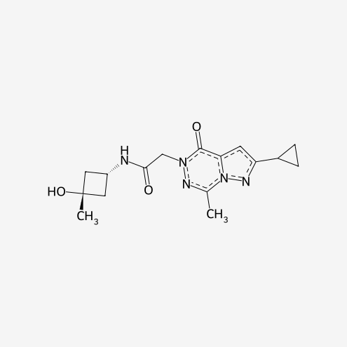 Cc1nn(CC(=O)N[C@H]2C[C@@](C)(O)C2)c(=O)c2cc(C3CC3)nn12